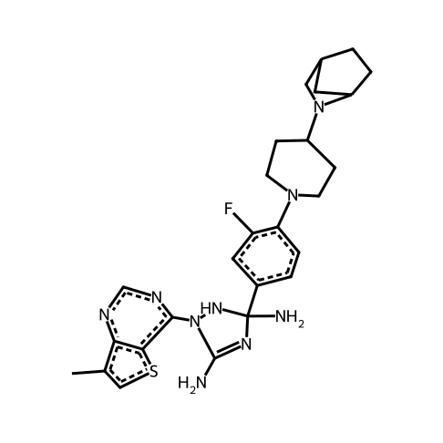 Cc1csc2c(N3NC(N)(c4ccc(N5CCC(N6CC7CCC6C7)CC5)c(F)c4)N=C3N)ncnc12